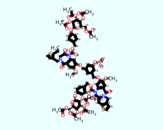 CCc1sccc1CN1CC(O)N(C(=O)OCc2ccc(O[C@@H]3O[C@H](COC(C)=O)[C@H](OC(C)=O)[C@H](OC(C)=O)[C@H]3OC(C)=O)cc2)c2cc(OCc3cc(COc4cc5c(cc4OC)C(=O)N4Cc6ccsc6C[C@H]4C(O)N5C(=O)OCc4ccc(O[C@@H]5O[C@H](COC(C)=O)[C@H](OC(C)=O)[C@H](OC(C)=O)[C@H]5OC(C)=O)cc4)cc(O[S](=O)=O)c3)c(OC)cc2C1=O